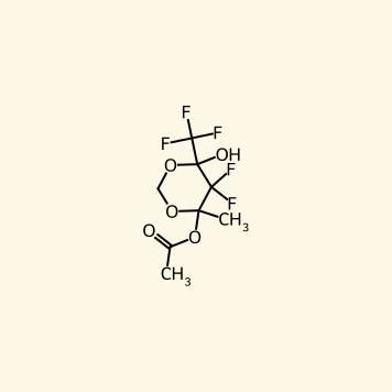 CC(=O)OC1(C)OCOC(O)(C(F)(F)F)C1(F)F